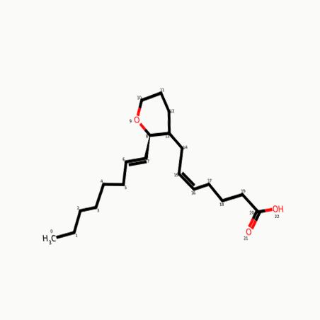 CCCCCC/C=C/[C@H]1OCCCC1C/C=C\CCCC(=O)O